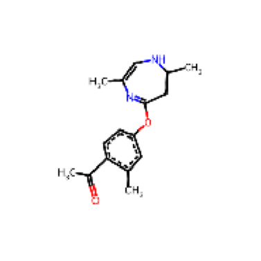 CC(=O)c1ccc(OC2=NC(C)=CNC(C)C2)cc1C